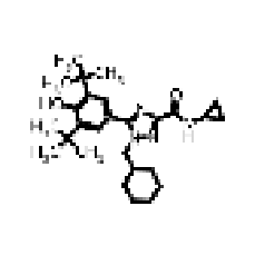 CC(C)(C)c1cc(-c2nc(C(=O)NC3CC3)nn2CC2CCCCC2)cc(C(C)(C)C)c1O